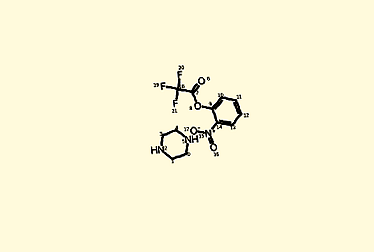 C1CNCCN1.O=C(Oc1ccccc1[N+](=O)[O-])C(F)(F)F